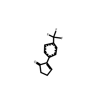 O=C1CCC=C1c1ccc(C(F)(F)F)cc1